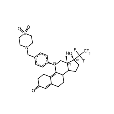 C[C@]12C[C@H](c3ccc(CN4CCS(=O)(=O)CC4)cc3)C3=C4CCC(=O)C=C4CCC3C1CC[C@@]2(O)C(F)(F)C(F)(F)F